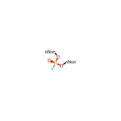 CCCCCCCCCOP(=O)(F)OCCCCCCCCC